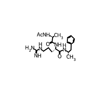 CC(=O)N[C@@H](C)C(=O)N[C@@H](CCCNC(=N)N)C(=O)N[C@@H](C)Cc1ccccc1